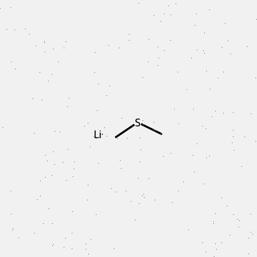 CSC.[Li]